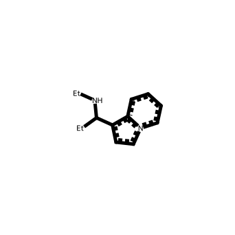 CCNC(CC)c1ccn2ccccc12